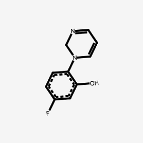 Oc1cc(F)ccc1N1C=CC=NC1